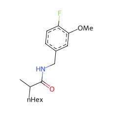 CCCCCCC(C)C(=O)NCc1ccc(F)c(OC)c1